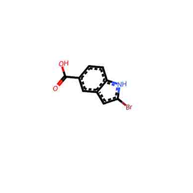 O=C(O)c1ccc2[nH]c(Br)cc2c1